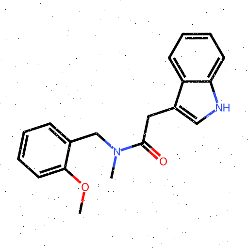 COc1ccccc1CN(C)C(=O)Cc1c[nH]c2ccccc12